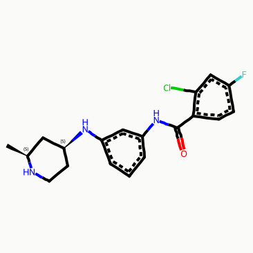 C[C@H]1C[C@@H](Nc2cccc(NC(=O)c3ccc(F)cc3Cl)c2)CCN1